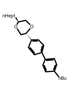 CCCCCCC[C@H]1CO[C@H](c2ccc(-c3ccc(CCCC)cc3)cc2)CO1